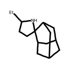 CCC1CCC2(N1)C1CC3CC(C1)CC2C3